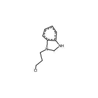 ClCCCN1[CH]Nc2ccccc21